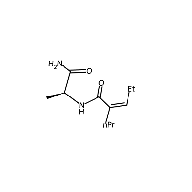 CCC=C(CCC)C(=O)N[C@@H](C)C(N)=O